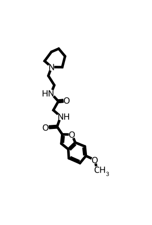 COc1ccc2cc(C(=O)NCC(=O)NCCN3CCCCC3)oc2c1